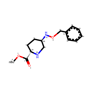 CCCCOC(=O)[C@@H]1CC[C@@H](NOCc2ccccc2)CN1